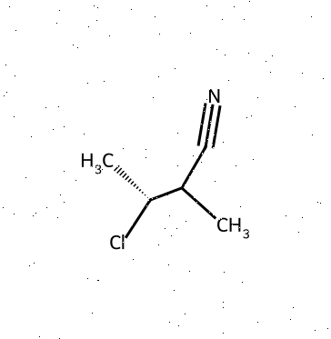 CC(C#N)[C@@H](C)Cl